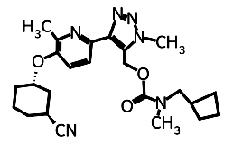 Cc1nc(-c2nnn(C)c2COC(=O)N(C)CC2CCC2)ccc1O[C@H]1CCC[C@H](C#N)C1